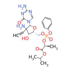 C#CC1(N)[C@@H](O)[C@@H](CO[P@](=O)(Oc2ccccc2)O[C@@H](C)C(=O)OC(C)C)O[C@H]1n1cnc(N)nc1=O